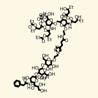 CCC(=O)O[C@H](CC)CC(=O)N[C@H]1C(OC(=O)C[C@@H](CC)OC(=O)CC)[C@H](OP(=O)(O)O)C(CO)O[C@H]1OCC1O[C@H](OCCNC(=O)CCc2cn(CCO[C@@H]3OC(CO)[C@@H](O[C@@H]4OC(CO)[C@H](O)C(O[C@]5(C(=O)O)C[C@@H](O)[C@@H](NC(=O)Cc6ccccc6)C([C@H](O)[C@H](O)CO)O5)[C@@H]4O)C(O)[C@@H]3O)nn2)C(NC(=O)C[C@H](O)CC)[C@@H](OC(=O)C[C@H](O)CC)[C@@H]1O